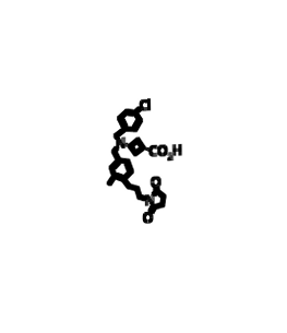 Cc1cc(CN(Cc2ccc(Cl)cc2)[C@H]2C[C@@H](C(=O)O)C2)ccc1CCCN1C(=O)CCC1=O